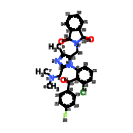 Cc1nc(CN(C)C)n(-c2cccc(Cl)c2C(=O)c2ccc(F)cc2)c1CN1C(=O)c2ccccc2C1=O